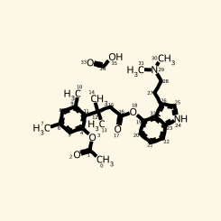 CC(=O)Oc1cc(C)cc(C)c1C(C)(C)CC(=O)Oc1cccc2[nH]cc(CCN(C)C)c12.O=CO